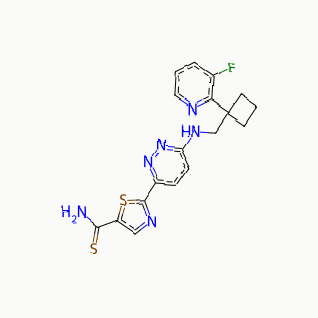 NC(=S)c1cnc(-c2ccc(NCC3(c4ncccc4F)CCC3)nn2)s1